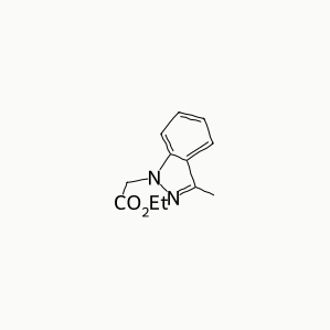 CCOC(=O)Cn1nc(C)c2ccccc21